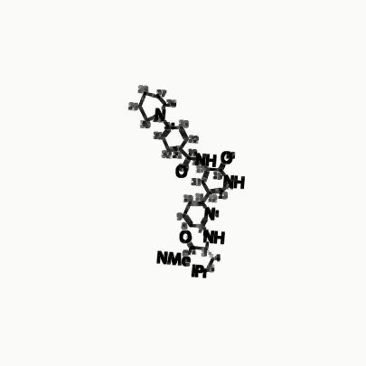 CNC(=O)[C@@H](CC(C)C)Nc1cccc(-c2c[nH]c(=O)c(NC(=O)c3ccc(N4CCCCC4)cc3)c2)n1